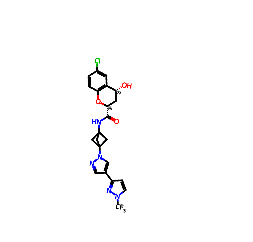 O=C(NC12CC(n3cc(-c4ccn(C(F)(F)F)n4)cn3)(C1)C2)[C@H]1C[C@@H](O)c2cc(Cl)ccc2O1